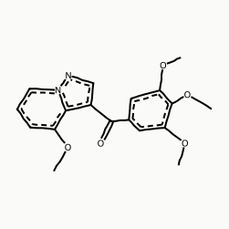 COc1cc(C(=O)c2cnn3cccc(OC)c23)cc(OC)c1OC